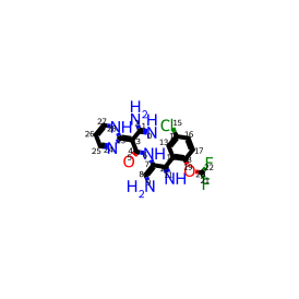 N=C(N)/C(C(=O)N/C(=C/N)C(=N)c1cc(Cl)ccc1OC(F)F)=C1/N=CC=CN1